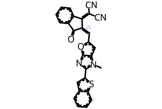 Cn1c(-c2cc3ccccc3s2)nc2oc(/C=C3\C(=O)c4ccccc4C3=C(C#N)C#N)cc21